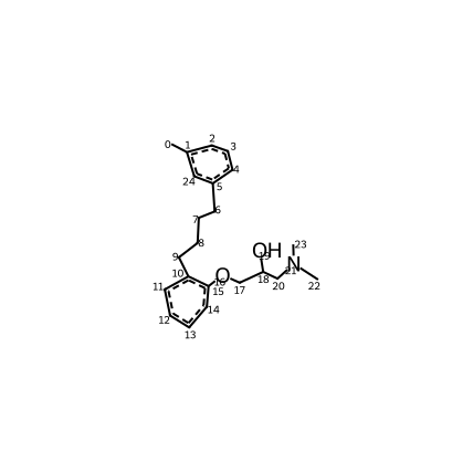 Cc1cccc(CCCCc2ccccc2OCC(O)CN(C)C)c1